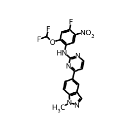 Cn1ncc2cc(-c3ccnc(Nc4cc([N+](=O)[O-])c(F)cc4OC(F)F)n3)ccc21